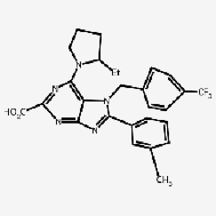 CCC1CCCN1c1nc(C(=O)O)nc2nc(-c3cccc(C)c3)n(Cc3ccc(C(F)(F)F)cc3)c12